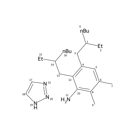 CCCCC(CC)Cc1cc(C)c(C)c(N)c1CC(CC)CCCC.c1c[nH]nn1